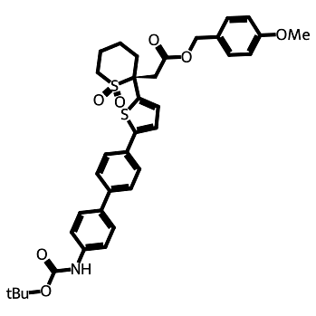 COc1ccc(COC(=O)C[C@]2(c3ccc(-c4ccc(-c5ccc(NC(=O)OC(C)(C)C)cc5)cc4)s3)CCCCS2(=O)=O)cc1